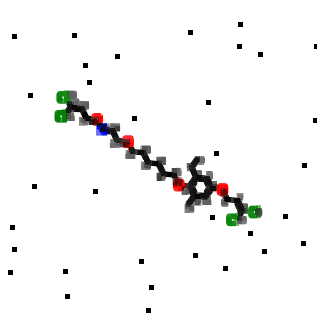 CCc1cc(OCC=C(Cl)Cl)cc(C)c1OCCCCCCOCC=NOCC=C(Cl)Cl